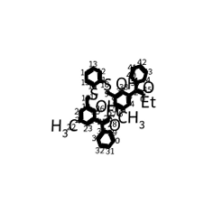 CCC1=C(c2cc(C)cc(CSc3ccccc3SCc3cc(C)cc(-c4c(CC)oc5ccccc45)c3O)c2O)C2C=CC=CC2O1